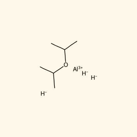 CC(C)OC(C)C.[Al+3].[H-].[H-].[H-]